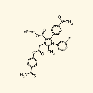 CCCCCOC(=O)c1c(CC(=O)Oc2ccc(C(N)=S)cc2)c(C)n(-c2cccc(F)c2)c1-c1ccc([S+](C)[O-])cc1